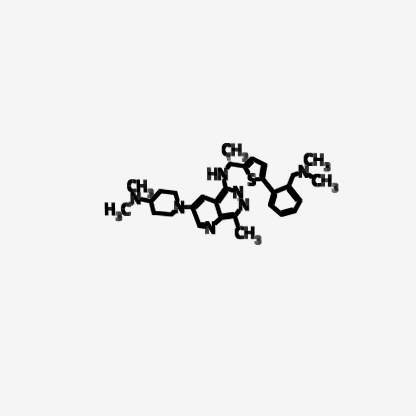 Cc1nnc(N[C@H](C)c2ccc(-c3ccccc3CN(C)C)s2)c2cc(N3CCC(N(C)C)CC3)cnc12